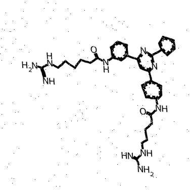 N=C(N)NCCCCCC(=O)Nc1cccc(-c2cc(-c3ccc(NC(=O)CCCCNC(=N)N)cc3)nc(-c3ccccc3)n2)c1